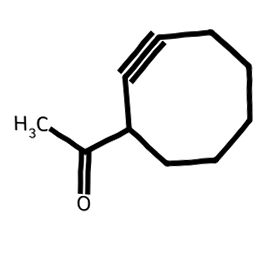 CC(=O)C1C#CCCCCC1